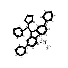 C1=CCC(C(c2ccccc2)C2c3cc(-c4ccccc4)ccc3-c3ccc(-c4ccccc4)cc32)=C1.[Cl-].[Cl-].[Zr+2]